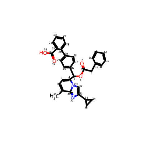 Cc1ccc(C(OC(=O)Cc2ccccc2)c2ccc(-c3ccccc3C(=O)O)cc2)n2cc(C3CC3)nc12